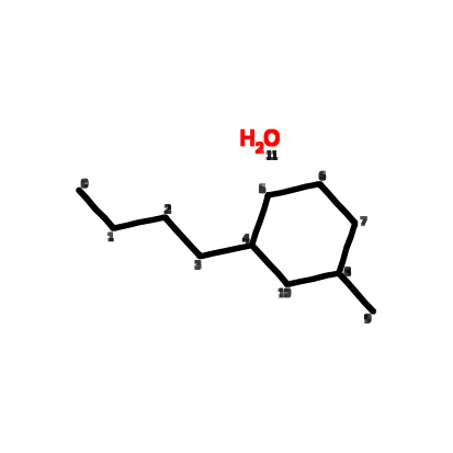 CCCCC1CCCC(C)C1.O